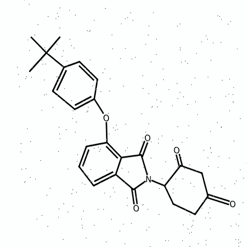 CC(C)(C)c1ccc(Oc2cccc3c2C(=O)N(C2CCC(=O)CC2=O)C3=O)cc1